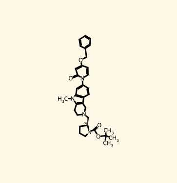 Cn1c2c(c3ccc(-n4ccc(OCc5ccccc5)cc4=O)cc31)CN(C[C@@H]1CCCN1C(=O)OC(C)(C)C)CC2